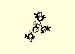 CC(C)C1(C)CC(OC(=O)CC(C(=O)OC2CC(C)(C)NC(C)(C(C)C)C2)C(=O)OC2CC(C)(C)NC(C)(C(C)C)C2)CC(C)(C)N1